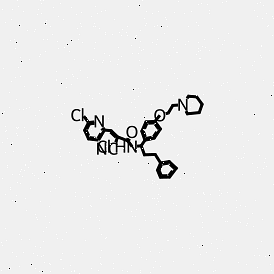 N#C/C(=C\c1nc(Cl)ccc1Cl)C(=O)NC(CCc1ccccc1)c1ccc(OCCN2CCCCC2)cc1